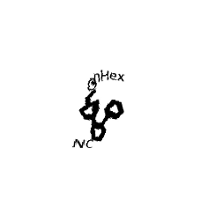 CCCCCCOCCc1ccc(-c2cc(C#N)ccc2-c2ccccc2)cc1